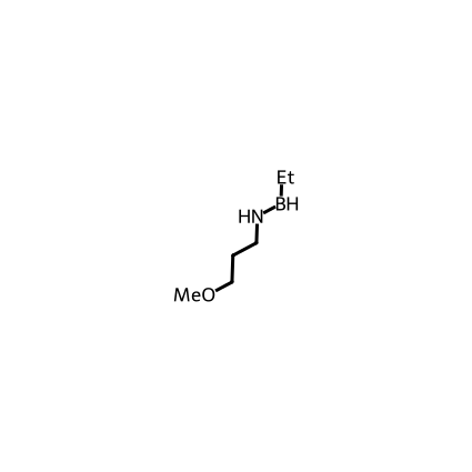 CCBNCCCOC